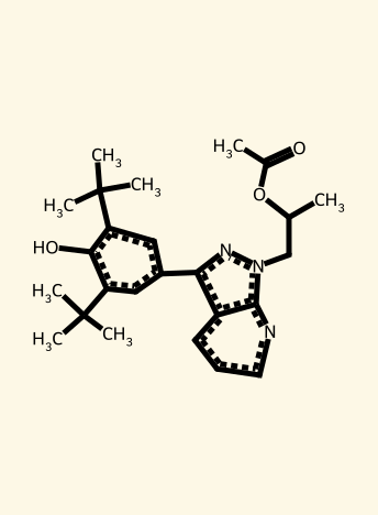 CC(=O)OC(C)Cn1nc(-c2cc(C(C)(C)C)c(O)c(C(C)(C)C)c2)c2cccnc21